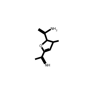 C=C(N)C1OC(C(C)=N)=CC1C